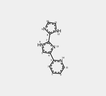 c1ccc(-c2c[nH]c(-c3ncc[nH]3)n2)nc1